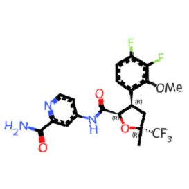 COc1c([C@H]2C[C@](C)(C(F)(F)F)O[C@H]2C(=O)Nc2ccnc(C(N)=O)c2)ccc(F)c1F